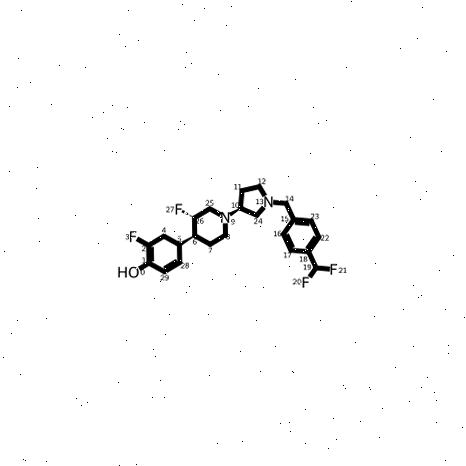 OC1=C(F)CC([C@@H]2CCN([C@H]3CCN(Cc4ccc(C(F)F)cc4)C3)C[C@H]2F)C=C1